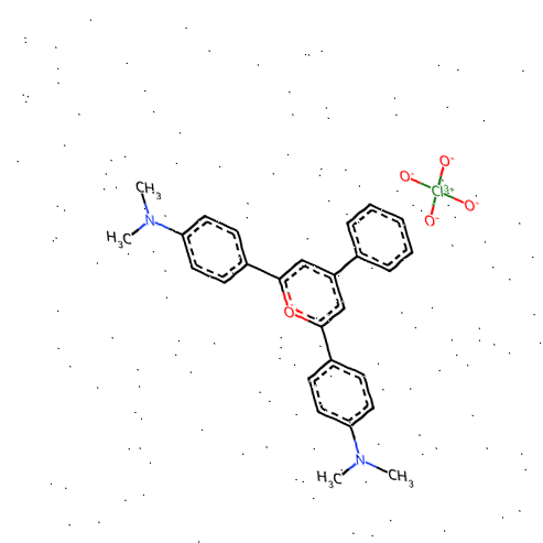 CN(C)c1ccc(-c2cc(-c3ccccc3)cc(-c3ccc(N(C)C)cc3)[o+]2)cc1.[O-][Cl+3]([O-])([O-])[O-]